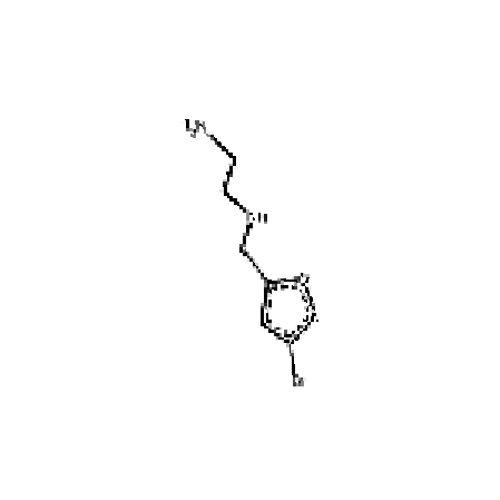 NCCNCc1cc(Br)no1